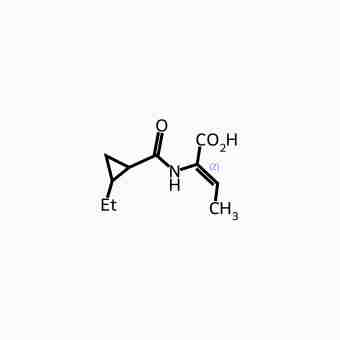 C/C=C(\NC(=O)C1CC1CC)C(=O)O